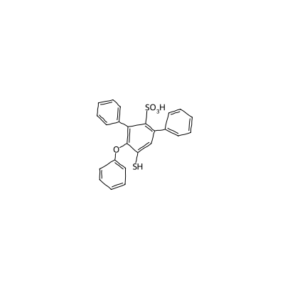 O=S(=O)(O)c1c(-c2ccccc2)cc(S)c(Oc2ccccc2)c1-c1ccccc1